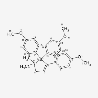 COc1ccc(C2=CC[N+](C)(C)[B-]2(c2ccc(OC)cc2)c2ccc(OC)cc2)cc1